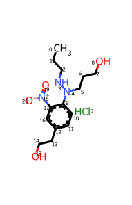 CCCNN(CCCO)c1ccc(CCO)cc1[N+](=O)[O-].Cl